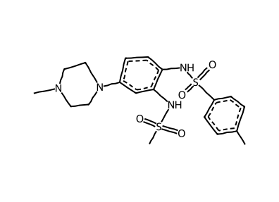 Cc1ccc(S(=O)(=O)Nc2ccc(N3CCN(C)CC3)cc2NS(C)(=O)=O)cc1